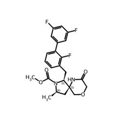 COC(=O)N1[C@H](C)C[C@@]2(COCC(=O)N2)[C@@H]1Cc1cccc(-c2cc(F)cc(F)c2)c1F